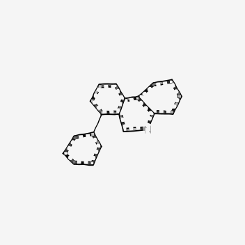 [c]1ccc(-c2cccc3c2cnc2ccccc23)cc1